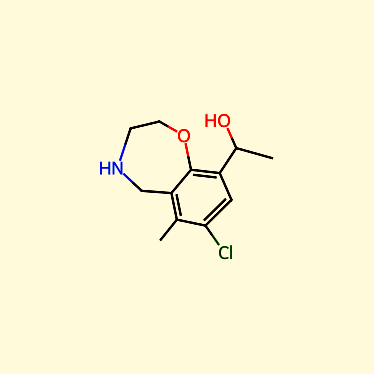 Cc1c(Cl)cc(C(C)O)c2c1CNCCO2